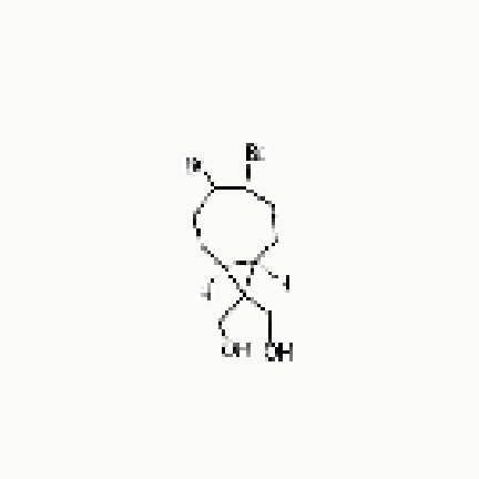 OCC1(CO)[C@@H]2CCC(Br)C(Br)CC[C@@H]21